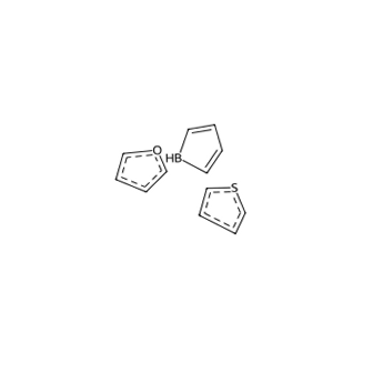 B1C=CC=C1.c1ccoc1.c1ccsc1